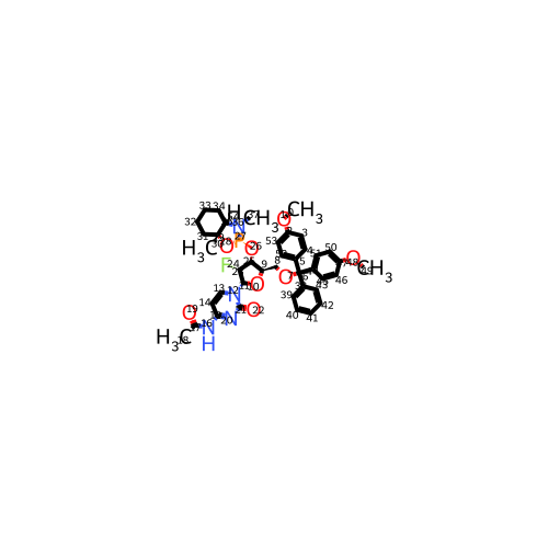 COc1ccc(C(OC[C@H]2O[C@@H](n3ccc(NC(C)=O)nc3=O)[C@H](F)[C@@H]2O[P@@]2O[C@@]3(C)CCCC[C@@H]3N2C)(c2ccccc2)c2ccc(OC)cc2)cc1